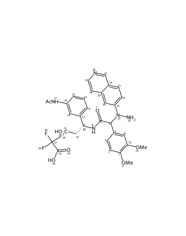 COc1ccc(C(C(=O)N[C@H](CC(=O)O)c2cccc(NC(C)=O)c2)N(N)c2ccc3cnccc3c2)cc1OC.O=C(O)C(F)(F)F